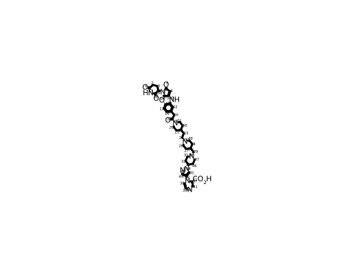 O=C1CCC(N2C(=O)C=C(Nc3cccc(CC(=O)N4CCC(CCN5CCC(CN6CCC(n7cc(N8C=CN=CC8C(=O)O)cn7)CC6)CC5)CC4)c3)C2=O)C(=O)N1